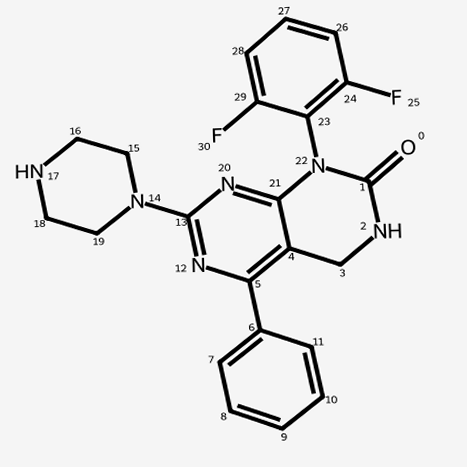 O=C1NCc2c(-c3ccccc3)nc(N3CCNCC3)nc2N1c1c(F)cccc1F